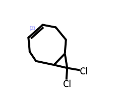 ClC1(Cl)C2CC/C=C\CCC21